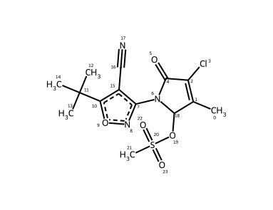 CC1=C(Cl)C(=O)N(c2noc(C(C)(C)C)c2C#N)C1OS(C)(=O)=O